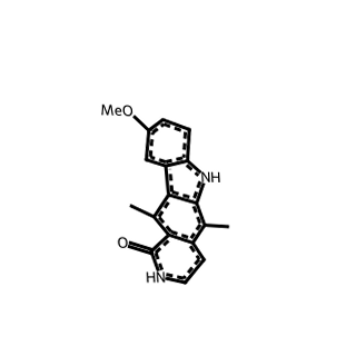 COc1ccc2[nH]c3c(C)c4cc[nH]c(=O)c4c(C)c3c2c1